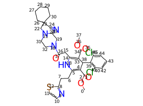 COC(=O)C1=C(CCc2nccs2)NC(CC(=O)N2CCN(CC3(C#N)CCCCC3)CC2)=C(C(=O)OC)C1c1c(Cl)cccc1Cl